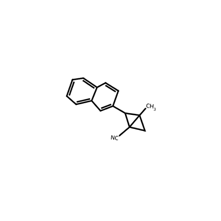 CC12CC1(C#N)C2c1ccc2ccccc2c1